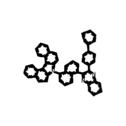 c1ccc(-c2ccc(-c3nc4ccccc4nc3-c3cccc4c(-n5c6ccc7ccccc7c6c6c7ccccc7ccc65)cccc34)cc2)cc1